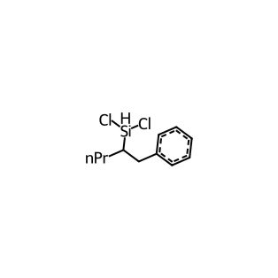 CCCC(Cc1ccccc1)[SiH](Cl)Cl